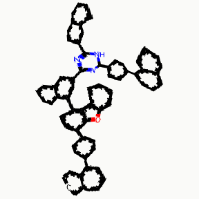 c1ccc2cc(C3=NC(c4cc(-c5ccc(-c6ccc(-c7cccc8ccccc78)cc6)c6oc7ccccc7c56)c5ccccc5c4)=NC(c4ccc(-c5cccc6ccccc56)cc4)N3)ccc2c1